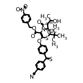 C[C@@H](O)[C@H]1C(=O)N(C(C(=O)OCc2ccc([N+](=O)[O-])cc2)=C(Oc2ccc(C(=S)c3ccc(C#N)cc3)cc2)SC(=O)C(C)(C)C)[C@H]1Cl